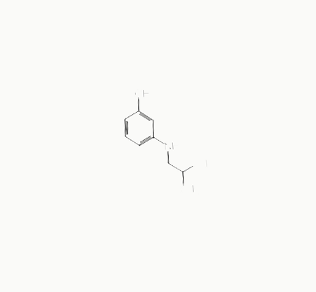 CC(C)CNc1cccc(O)c1